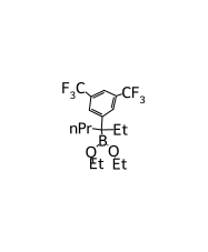 CCCC(CC)(B(OCC)OCC)c1cc(C(F)(F)F)cc(C(F)(F)F)c1